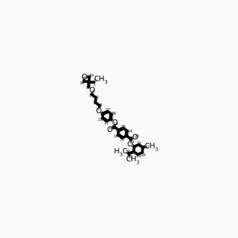 CCC1(COCCCCOc2ccc(OC(=O)c3ccc(C(=O)OC4CC(C)CCC4C(C)C)cc3)cc2)COC1